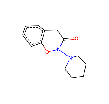 O=C1Cc2ccccc2ON1N1CCCCC1